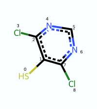 Sc1c(Cl)n[c]nc1Cl